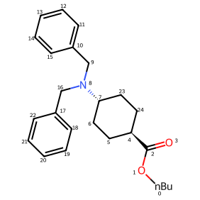 CCCCOC(=O)[C@H]1CC[C@H](N(Cc2ccccc2)Cc2ccccc2)CC1